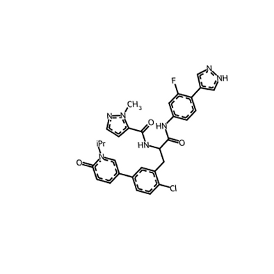 CC(C)n1cc(-c2ccc(Cl)c(CC(NC(=O)c3ccnn3C)C(=O)Nc3ccc(-c4cn[nH]c4)c(F)c3)c2)ccc1=O